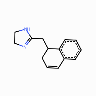 C1=Cc2ccccc2C(CC2=NCCN2)C1